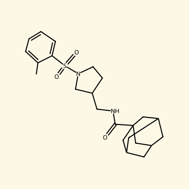 Cc1ccccc1S(=O)(=O)N1CCC(CNC(=O)C23CC4CC(CC(C4)C2)C3)C1